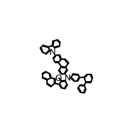 c1ccc(-c2ccccc2-c2ccc(N(c3ccc4c(ccc5cc(-n6c7ccccc7c7ccccc76)ccc54)c3)c3cccc4c3oc3c5ccccc5ccc43)cc2)cc1